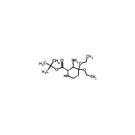 CCOC1(OCC)CCNC(C(=O)OC(C)(C)C)C1N